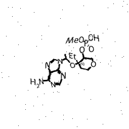 CC[C@]1(OC(C)n2cnc3c(N)ncnc32)CCOCC1OP(=O)(O)OC